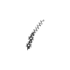 CCCCCCCCCCCCN=Cc1ccc(OCc2ccc(F)cc2)cc1